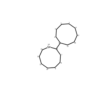 C1CCCCC(C2CCCCCCC[Se]2)CCC1